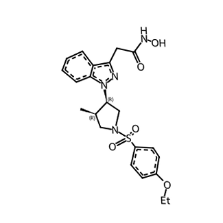 CCOc1ccc(S(=O)(=O)N2C[C@@H](C)[C@@H](n3nc(CC(=O)NO)c4ccccc43)C2)cc1